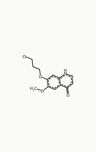 COc1cc2c(=O)cn[nH]c2cc1OCCCCl